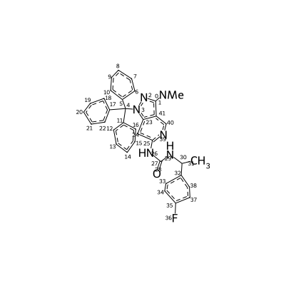 CNc1nn(C(c2ccccc2)(c2ccccc2)c2ccccc2)c2cc(NC(=O)NC(C)c3ccc(F)cc3)ncc12